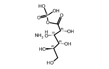 N.O=C(OP(=O)(O)O)[C@H](O)[C@@H](O)[C@H](O)[C@H](O)CO